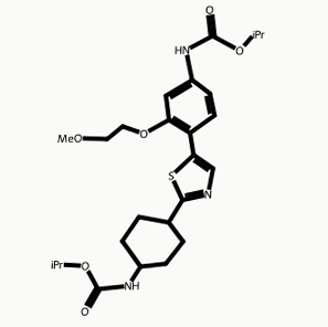 COCCOc1cc(NC(=O)OC(C)C)ccc1-c1cnc(C2CCC(NC(=O)OC(C)C)CC2)s1